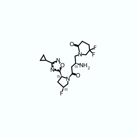 N[C@@H](CC(=O)N1C[C@@H](F)C[C@H]1c1nc(C2CC2)no1)CN1CC(F)(F)CCC1=O